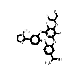 CN1CCN=C1c1cccc(Oc2nc(Oc3cc(C(=N)N)ccc3O)c(F)c(OC(CF)CF)c2F)c1